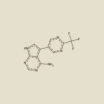 Nc1ncnc2[nH]cc(-c3cnc(C(F)(F)F)nc3)c12